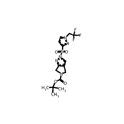 CC(C)(C)OC(=O)N1Cc2cn(S(=O)(=O)c3ccn(CC(F)(F)F)n3)nc2C1